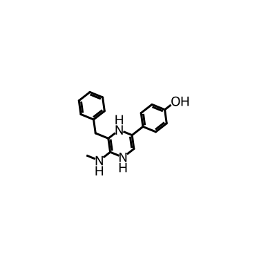 CNC1=C(Cc2ccccc2)NC(c2ccc(O)cc2)=CN1